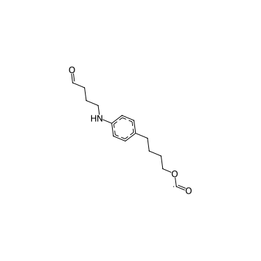 O=[C]OCCCCc1ccc(NCCCC=O)cc1